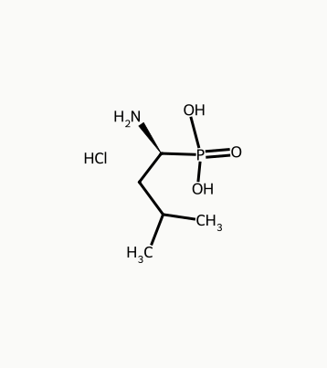 CC(C)C[C@@H](N)P(=O)(O)O.Cl